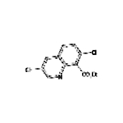 CCOC(=O)c1c(Cl)ccc2cc(Cl)cnc12